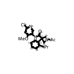 COc1cc(Cl)ncc1NC(=O)C1(c2ccccc2C(C)C)CN(C(C)=O)C1